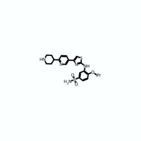 CC(C)Oc1ccc(S(N)(=O)=O)cc1Nc1nc(-c2ccc(C3CCNCC3)nc2)cs1